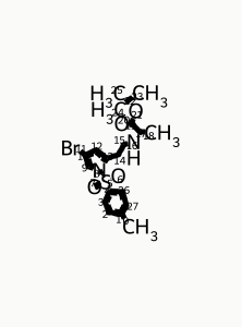 Cc1ccc(S(=O)(=O)n2cc(Br)cc2CCNC(C)C(=O)OC(C)(C)C)cc1